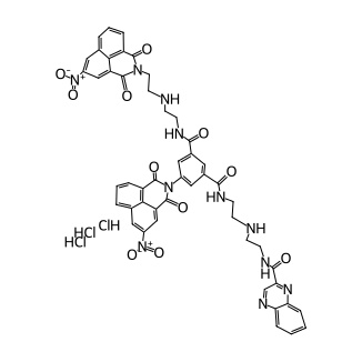 Cl.Cl.Cl.O=C(NCCNCCNC(=O)c1cnc2ccccc2n1)c1cc(C(=O)NCCNCCN2C(=O)c3cccc4cc([N+](=O)[O-])cc(c34)C2=O)cc(N2C(=O)c3cccc4cc([N+](=O)[O-])cc(c34)C2=O)c1